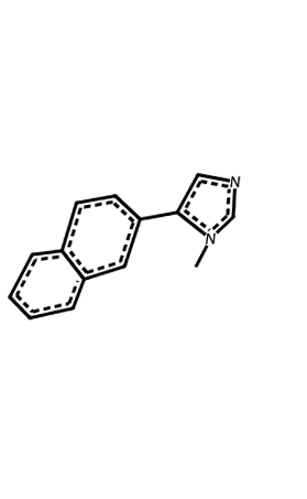 Cn1cncc1-c1ccc2ccccc2c1